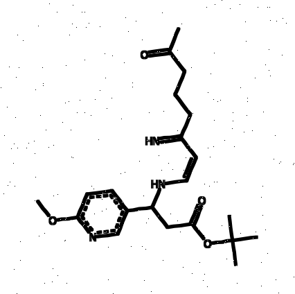 COc1ccc(C(CC(=O)OC(C)(C)C)N/C=C\C(=N)CCCC(C)=O)cn1